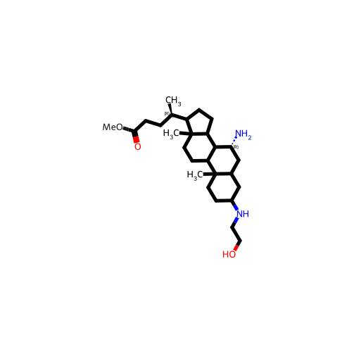 COC(=O)CC[C@@H](C)C1CCC2C3C(CCC21C)C1(C)CCC(NCCO)CC1C[C@H]3N